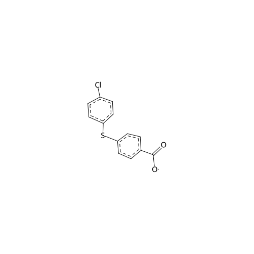 [O]C(=O)c1ccc(Sc2ccc(Cl)cc2)cc1